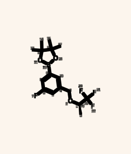 C[C@@H](OCc1cc(F)cc(B2OC(C)(C)C(C)(C)O2)c1)C(F)(F)F